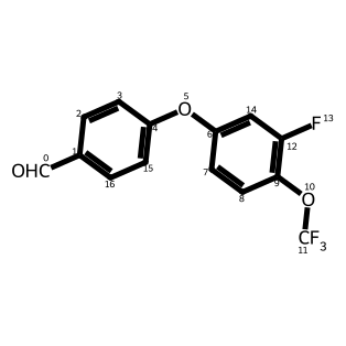 O=Cc1ccc(Oc2ccc(OC(F)(F)F)c(F)c2)cc1